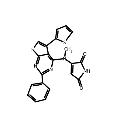 CN(C1=CC(=O)NC1=O)c1nc(-c2ccccc2)nc2scc(-c3cccs3)c12